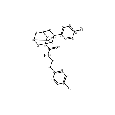 O=C(NCCc1ccc(F)cc1)C12CC3CC(C1)CC(c1ccc(Cl)cc1)(C3)C2